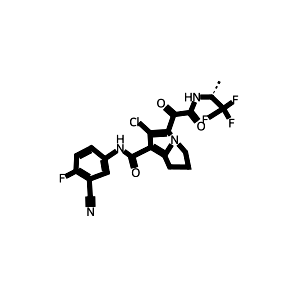 C[C@@H](NC(=O)C(=O)c1c(Cl)c(C(=O)Nc2ccc(F)c(C#N)c2)c2n1CCC2)C(F)(F)F